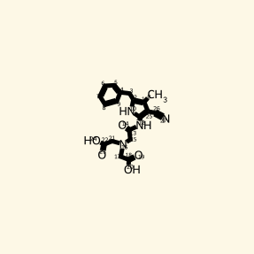 Cc1c(Cc2ccccc2)[nH]c(NC(=O)CN(CC(=O)O)CC(=O)O)c1C#N